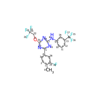 Cc1ccc(-c2nc(Nc3cccc(C(F)(F)F)c3)nc(OCC(F)(F)F)n2)cc1F